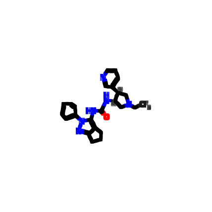 O=C(Nc1c2c(nn1-c1ccccc1)CCC2)N[C@H]1CN(CC(F)(F)F)C[C@@H]1c1cccnc1